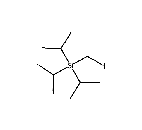 CC(C)[Si](CI)(C(C)C)C(C)C